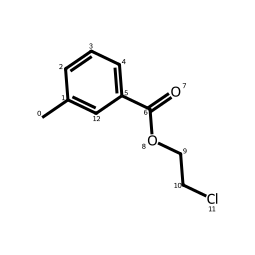 Cc1cccc(C(=O)OCCCl)c1